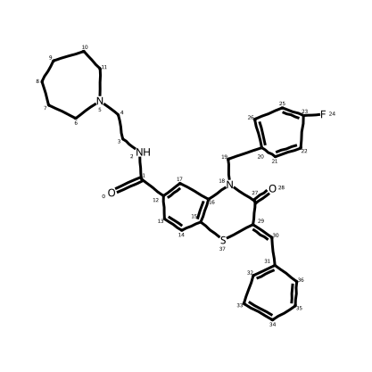 O=C(NCCN1CCCCCC1)c1ccc2c(c1)N(Cc1ccc(F)cc1)C(=O)C(=Cc1ccccc1)S2